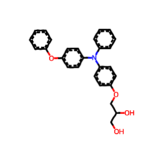 OCC(O)COc1ccc(N(c2ccccc2)c2ccc(Oc3ccccc3)cc2)cc1